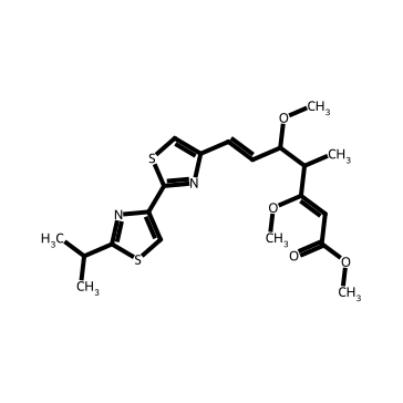 COC(=O)C=C(OC)C(C)C(C=Cc1csc(-c2csc(C(C)C)n2)n1)OC